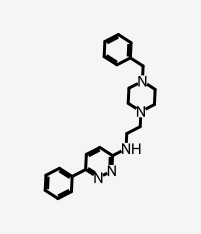 c1ccc(CN2CCN(CCNc3ccc(-c4ccccc4)nn3)CC2)cc1